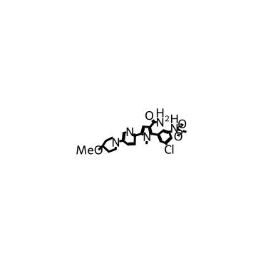 COC1CCN(c2ccc(-c3cc(C(N)=O)c(-c4cc(Cl)cc(NS(C)(=O)=O)c4)n3C)nc2)CC1